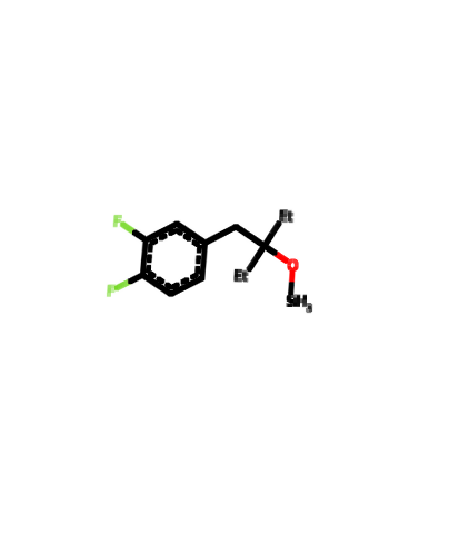 CCC(CC)(Cc1ccc(F)c(F)c1)O[SiH3]